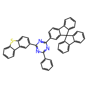 c1ccc(-c2nc(-c3ccc4c(c3)C3(c5ccccc5-c5ccccc53)c3ccccc3-4)nc(-c3ccc4sc5ccccc5c4c3)n2)cc1